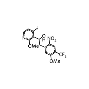 COc1cc(CC(O)c2c(I)ccnc2OC)c([N+](=O)[O-])cc1C(F)(F)F